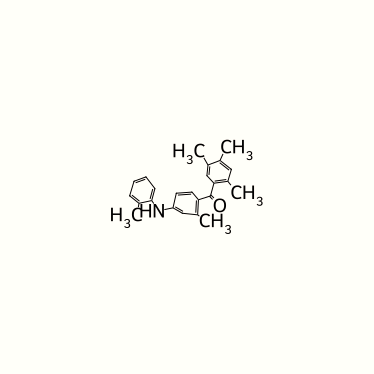 Cc1cc(C)c(C(=O)c2ccc(Nc3ccccc3C)cc2C)cc1C